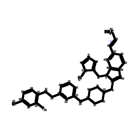 CCn1cncc1Cn1c(CN2CCC(Oc3cccc(COc4ccc(Cl)cc4F)n3)CC2)nc2ccc(/C=C/C(=O)O)nc21